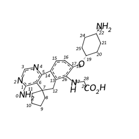 Nc1ncnc2c1C1(CCCC1)Cc1c-2ccc(O[C@H]2CC[C@@H](N)CC2)c1NCC(=O)O